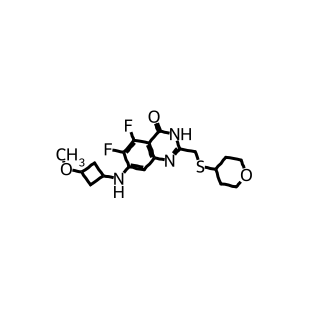 COC1CC(Nc2cc3nc(CSC4CCOCC4)[nH]c(=O)c3c(F)c2F)C1